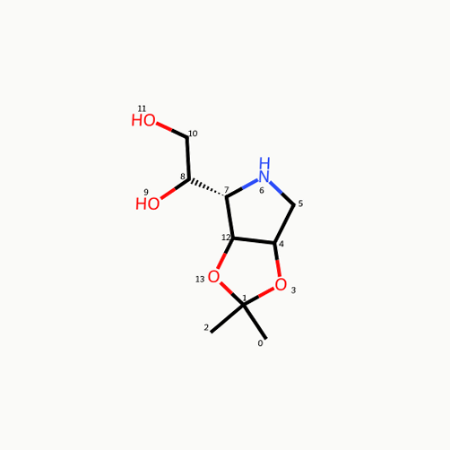 CC1(C)OC2CN[C@@H](C(O)CO)C2O1